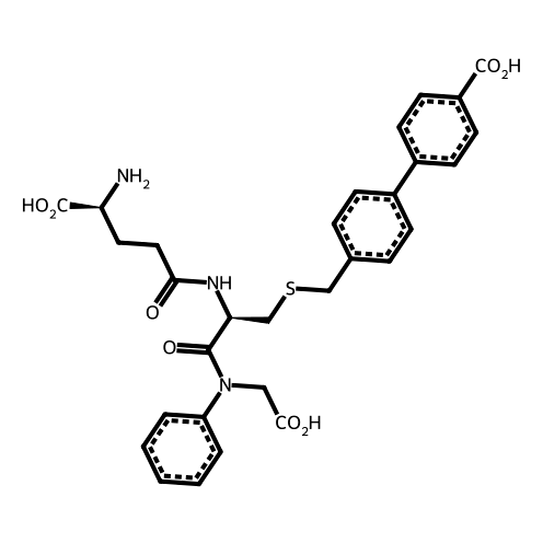 N[C@@H](CCC(=O)N[C@@H](CSCc1ccc(-c2ccc(C(=O)O)cc2)cc1)C(=O)N(CC(=O)O)c1ccccc1)C(=O)O